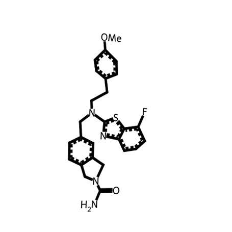 COc1ccc(CCN(Cc2ccc3c(c2)CN(C(N)=O)C3)c2nc3cccc(F)c3s2)cc1